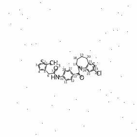 Cc1sccc1CC(=O)Nc1ccc(C(=O)N2CCCCc3sc(Cl)cc32)cc1